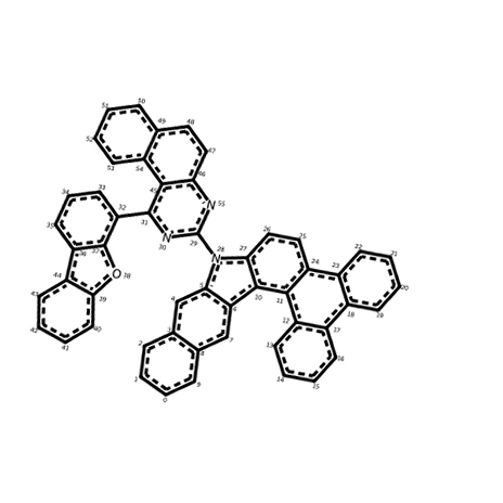 c1ccc2cc3c(cc2c1)c1c2c4ccccc4c4ccccc4c2ccc1n3-c1nc(-c2cccc3c2oc2ccccc23)c2c(ccc3ccccc32)n1